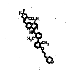 Cc1c(Nc2nccc3cc(CN4CC(F)(F)CC4C(=O)O)cnc23)cccc1-c1cccc(OCCCN2CCOCC2)c1C